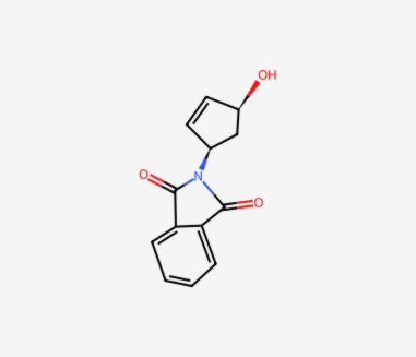 O=C1c2ccccc2C(=O)N1[C@H]1C=C[C@@H](O)C1